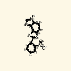 Cn1cnc2c3nc(-c4ccc[c]c4[N+](=O)[O-])sc3ccc21